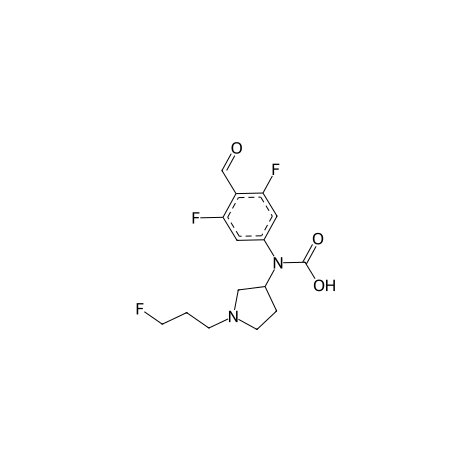 O=Cc1c(F)cc(N(C(=O)O)C2CCN(CCCF)C2)cc1F